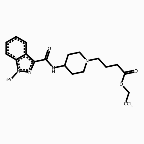 CC(C)n1nc(C(=O)NC2CCN(CCCC(=O)OCC(Cl)(Cl)Cl)CC2)c2ccccc21